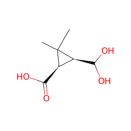 CC1(C)[C@H](C(=O)O)[C@@H]1C(O)O